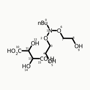 CCCCN(OCCO)OCCO.O=C(O)C(O)C(O)C(=O)O